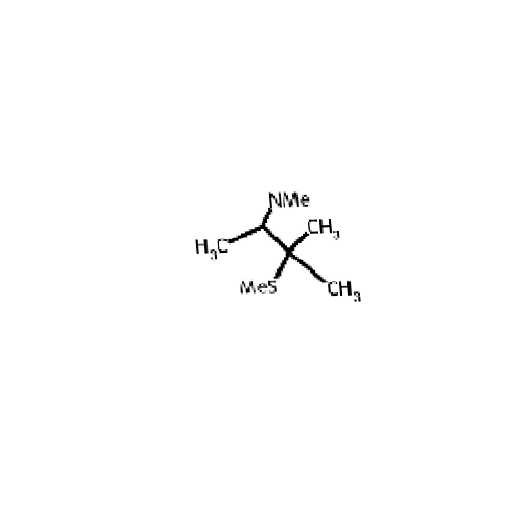 CNC(C)C(C)(C)SC